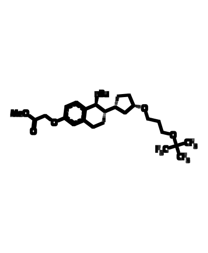 CCCC[C@@H]1c2ccc(OCC(=O)OC)cc2CC[C@H]1[C@@H]1CC[C@H](OCCCOC(C(F)(F)F)(C(F)(F)F)C(F)(F)F)C1